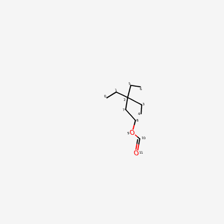 CCC(CC)(CC)CCOC=O